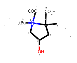 CC(C)(C)[N+]1(C(=O)[O-])CC(O)CC1(C)C(=O)O